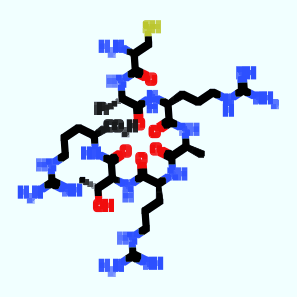 CC(C)[C@H](NC(=O)[C@@H](N)CS)C(=O)N[C@@H](CCCNC(=N)N)C(=O)N[C@@H](C)C(=O)N[C@@H](CCCNC(=N)N)C(=O)N[C@H](C(=O)N[C@@H](CCCNC(=N)N)C(=O)O)[C@@H](C)O